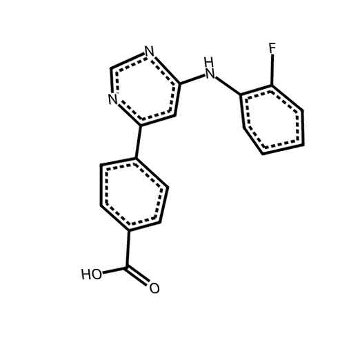 O=C(O)c1ccc(-c2cc(Nc3ccccc3F)ncn2)cc1